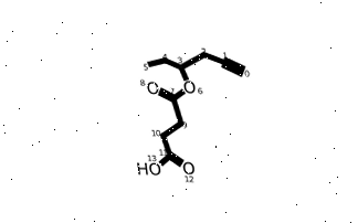 C#CCC(CC)OC(=O)CCC(=O)O